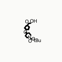 CC(C)(C)OC(=O)N1CCC(Oc2ccc(C(=O)CO)cc2)CC1